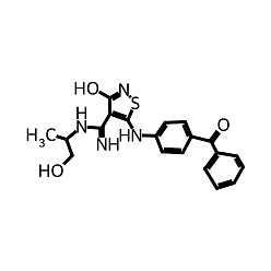 CC(CO)NC(=N)c1c(O)nsc1Nc1ccc(C(=O)c2ccccc2)cc1